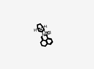 CN1[C@@H]2CC[C@H]1C[C@@H](n1cc3c4c(cccc4c1=O)CCC3)C2.Cl